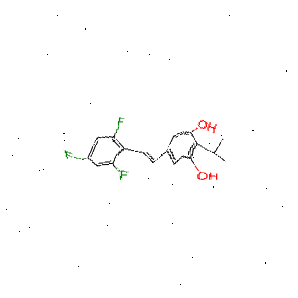 CC(C)c1c(O)cc(C=Cc2c(F)cc(F)cc2F)cc1O